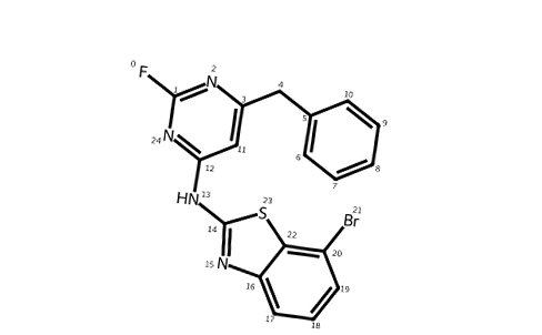 Fc1nc(Cc2ccccc2)cc(Nc2nc3cccc(Br)c3s2)n1